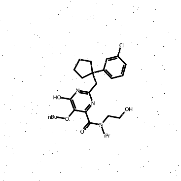 CCCCOc1c(O)nc(CC2(c3cccc(Cl)c3)CCCC2)nc1C(=O)N(CCO)C(C)C